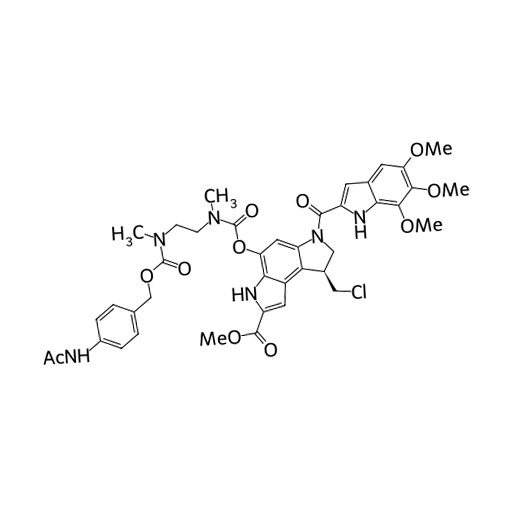 COC(=O)c1cc2c3c(cc(OC(=O)N(C)CCN(C)C(=O)OCc4ccc(NC(C)=O)cc4)c2[nH]1)N(C(=O)c1cc2cc(OC)c(OC)c(OC)c2[nH]1)C[C@H]3CCl